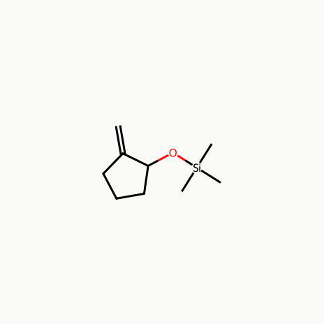 C=C1CCCC1O[Si](C)(C)C